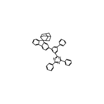 c1ccc(-c2cc(-c3ccc4c(c3)C3(c5ccccc5-4)C4CC5CC(C4)CC3C5)cc(-c3nc(-c4ccccc4)nc(-c4ccccc4)n3)c2)cc1